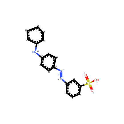 O=S(=O)(O)c1cccc(/N=N/c2ccc(Nc3ccccc3)cc2)c1